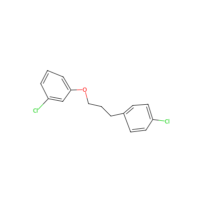 Clc1ccc(CCCOc2cccc(Cl)c2)cc1